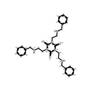 O=c1n(CCNCc2ccccc2)c(=O)n(CCNCc2ccccc2)c(=O)n1CCNCc1ccccc1